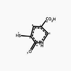 O=C(O)c1c[nH]c(=O)c(S)c1